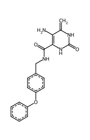 C=C1NC(=O)NC(C(=O)NCc2ccc(Oc3ccccc3)cc2)=C1N